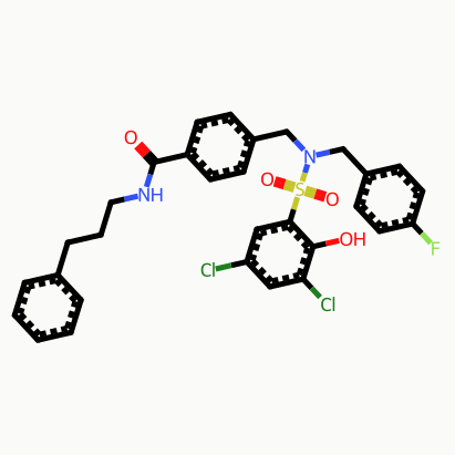 O=C(NCCCc1ccccc1)c1ccc(CN(Cc2ccc(F)cc2)S(=O)(=O)c2cc(Cl)cc(Cl)c2O)cc1